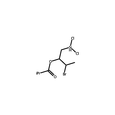 CC(C)C(=O)OC(C[SiH](Cl)Cl)C(C)Br